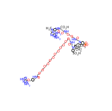 CN(Cc1cnc2nc(N)nc(N)c2n1)c1ccc(C(=O)N[C@@H](CCC(=O)NCCOCCOCCNC(=O)CCN2/C(=C/C=C/C3=[N+](CCC(=O)NCCOCCOCCOCCOCCOCCOCCOCCOCCOCCOCCOCCOCCC(=O)NCc4ccc(COc5nc(N)nc6[nH]cnc56)cc4)c4ccc(S(=O)(=O)O)cc4C3(C)C)C(C)(C)c3cc(S(=O)(=O)[O-])ccc32)C(=O)O)cc1